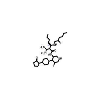 CCC/C=C(\NCC(F)CCCC)C(C(=O)NC1CNCC(F)C1N1CCC(N2CCCC2=O)CC1)C(N)N